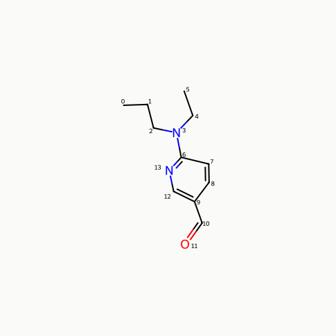 CCCN(CC)c1ccc(C=O)cn1